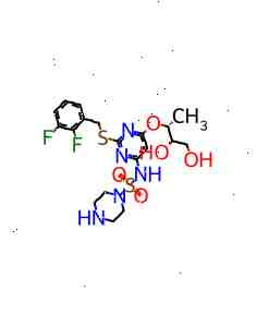 C[C@@H](Oc1cc(NS(=O)(=O)N2CCNCC2)nc(SCc2cccc(F)c2F)n1)[C@H](O)CO